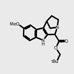 COc1ccc2[nH]c3c(c2c1)C1CCN(C1)C3C(=O)OCC(C)(C)C